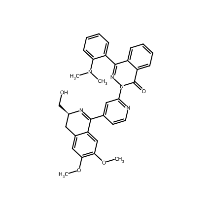 COc1cc2c(cc1OC)C(c1ccnc(-n3nc(-c4ccccc4N(C)C)c4ccccc4c3=O)c1)=N[C@H](CO)C2